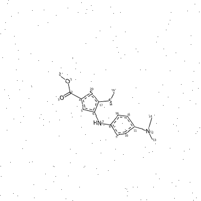 COC(=O)c1cc(Nc2ccc(N(C)C)cc2)c(SC)s1